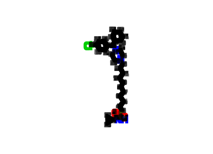 O=S(=O)(CCCCCCCCCCCN1CCN(C(c2ccccc2)c2ccc(Cl)cc2)CC1)NC1CC1